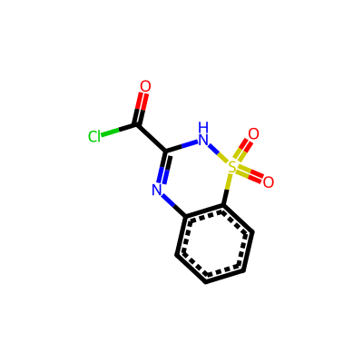 O=C(Cl)C1=Nc2ccccc2S(=O)(=O)N1